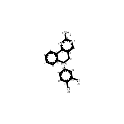 Nc1ncc2c(n1)-c1ccccc1[C@@H](c1ccc(Cl)c(Cl)c1)C2